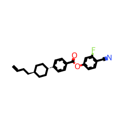 C=CCC[C@H]1CC[C@H](c2ccc(C(=O)Oc3ccc(C#N)c(F)c3)cc2)CC1